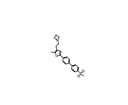 Cc1oc(-c2ccc(-c3ccc(S(C)(=O)=O)cc3)cc2)nc1CCN1CCC1